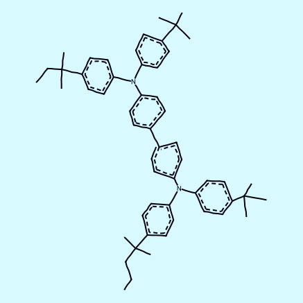 CCCC(C)(C)c1ccc(N(c2ccc(-c3ccc(N(c4ccc(C(C)(C)C)cc4)c4ccc(C(C)(C)CC)cc4)cc3)cc2)c2ccc(C(C)(C)C)cc2)cc1